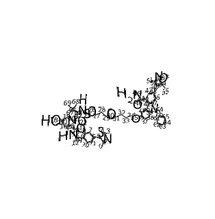 Cc1ncsc1-c1ccc([C@H](C)NC(=O)[C@@H]2C[C@@H](O)CN2C(=O)[C@@H](NSOCCCOCCCCOc2ccc3c(c2)c2c(C(N)=O)cc(-c4c(C)noc4C)cc2n3Cc2ccccc2)C(C)(C)C)cc1